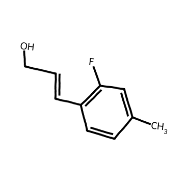 Cc1ccc(/C=C/CO)c(F)c1